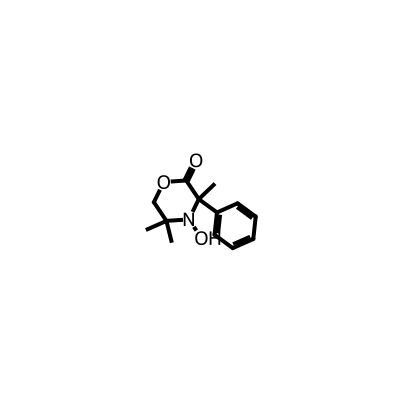 CC1(C)COC(=O)C(C)(c2ccccc2)N1O